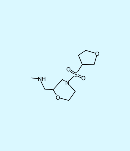 CNCC1CN(S(=O)(=O)C2CCOC2)CCO1